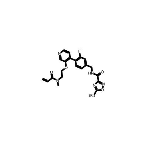 C=CC(=O)N(C)CCOc1cnccc1-c1ccc(CNC(=O)c2noc(C(C)(C)C)n2)cc1F